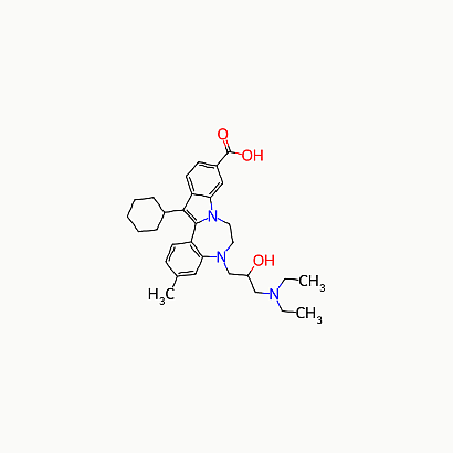 CCN(CC)CC(O)CN1CCn2c(c(C3CCCCC3)c3ccc(C(=O)O)cc32)-c2ccc(C)cc21